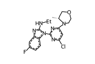 CCNc1nc2cc(F)ccc2n1-c1nc(Cl)cc(N2CCOC[C@H]2C)n1